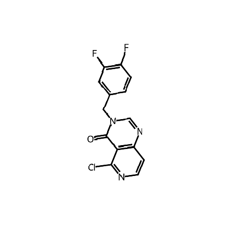 O=c1c2c(Cl)nccc2ncn1Cc1ccc(F)c(F)c1